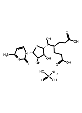 NP(=O)(O)O.Nc1ccn([C@@H]2O[C@H](C(O)N(CCC(=O)O)CCC(=O)O)[C@@H](O)[C@H]2O)c(=O)n1